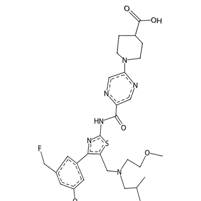 COCCN(Cc1sc(NC(=O)c2cnc(N3CCC(C(=O)O)CC3)cn2)nc1-c1cc(CF)cc(OC)c1)CC(C)C